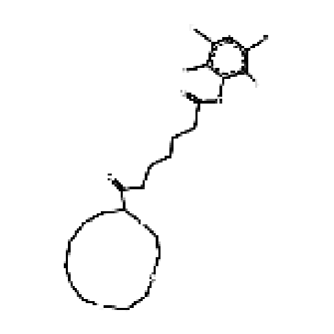 O=C(CCCCCC(=O)C1CCCCCCCCCCCCC1)Oc1c(F)c(F)cc(F)c1F